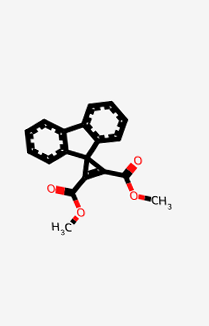 COC(=O)C1=C(C(=O)OC)C12c1ccccc1-c1ccccc12